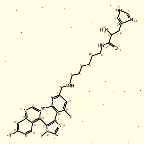 Cc1cc(CNCCCCCCNC(=O)C(N)Cc2c[nH]cn2)cc(C)c1-c1ncn(C)c1-c1ccnc2cc(F)ccc12